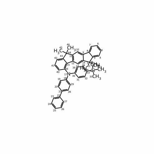 CC1(C)c2ccccc2-c2cc3c(cc21)-c1c(N(c2ccc(-c4ccccc4)cc2)c2ccc([Si](C)(C)C)cc2)cccc1C3(C)C